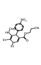 CCC1=C(NC=O)C(c2ccc([N+](=O)[O-])cc2)C(C(=O)OCCC#N)=CN1CC